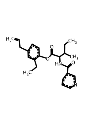 C=CCc1ccc(OC(=O)C(NC(=O)c2cccnc2)C(C)CC)c(CC)c1